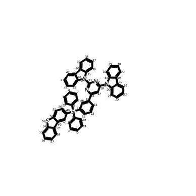 c1ccc([Si](c2ccccc2)(c2cccc(-c3cc(-n4c5ccccc5c5ccccc54)nc(-n4c5ccccc5c5ccccc54)n3)c2)c2ccc3sc4ccccc4c3c2)cc1